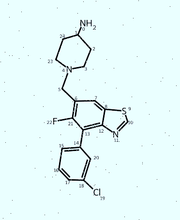 NC1CCN(Cc2cc3scnc3c(-c3cccc(Cl)c3)c2F)CC1